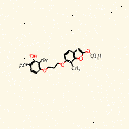 CCCc1c(OCCCOc2ccc3cc(OC(=O)O)oc3c2C)ccc(C(C)=O)c1O